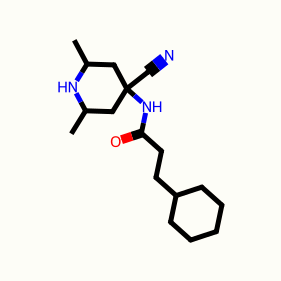 CC1CC(C#N)(NC(=O)CCC2CCCCC2)CC(C)N1